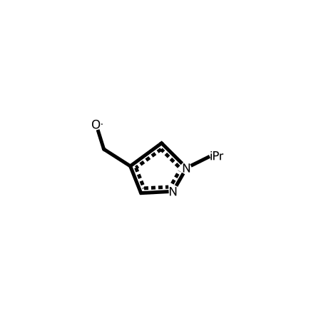 CC(C)n1cc(C[O])cn1